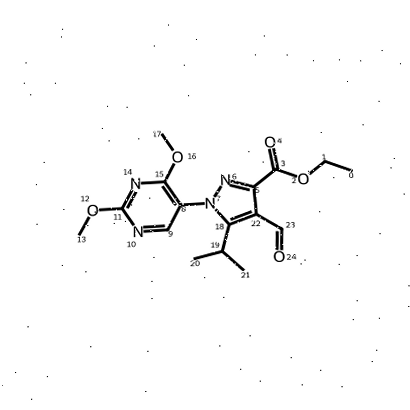 CCOC(=O)c1nn(-c2cnc(OC)nc2OC)c(C(C)C)c1C=O